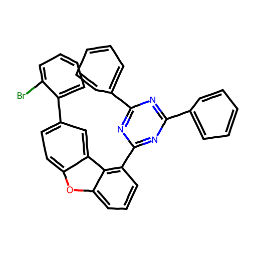 Brc1ccccc1-c1ccc2oc3cccc(-c4nc(-c5ccccc5)nc(-c5ccccc5)n4)c3c2c1